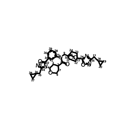 O=C(C1CCOCC1)N(CC12CCC(c3nc(CC4CC4)no3)(CC1)CC2)c1cccc(-c2nc(CC3CC3)no2)c1